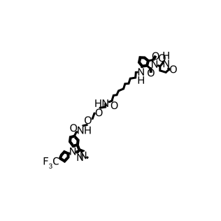 Cn1cc2c3cc(C(=O)NCCOCCOCCNC(=O)CCCCCCCCCNc4cccc5c4C(=O)N(C4CCC(=O)NC4=O)C5=O)ccc3n(-c3ccc(C(F)(F)F)cc3)c2n1